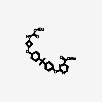 COC(=O)c1ccnc(Oc2ccc(C(C)(C)c3ccc(O[C@H]4C[C@H](NC(=O)OC(C)(C)C)C4)cc3)cc2)n1